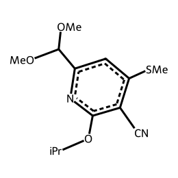 COC(OC)c1cc(SC)c(C#N)c(OC(C)C)n1